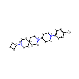 CC(=O)c1ccc(N2CCC(N3CCC4(CCN(C5CCC5)CC4)CC3)CC2)cc1